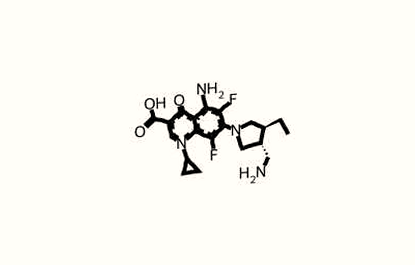 CC[C@@H]1CN(c2c(F)c(N)c3c(=O)c(C(=O)O)cn(C4CC4)c3c2F)C[C@H]1CN